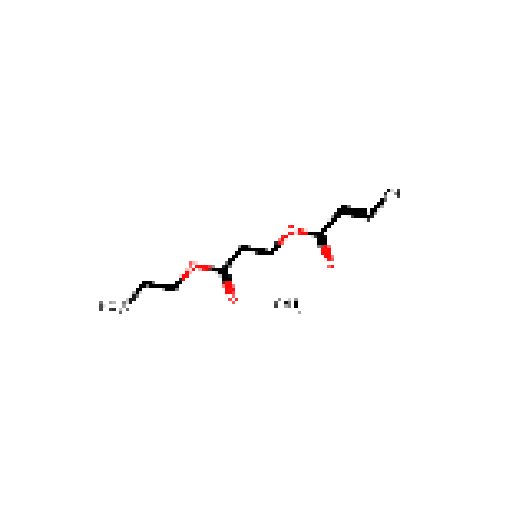 CC=CC(=O)OCCC(=O)OCCS(=O)(=O)O.[CaH2]